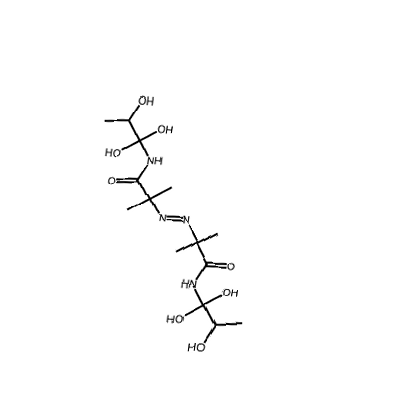 CC(O)C(O)(O)NC(=O)C(C)(C)N=NC(C)(C)C(=O)NC(O)(O)C(C)O